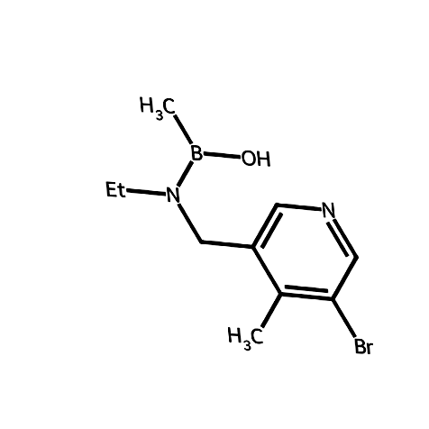 CCN(Cc1cncc(Br)c1C)B(C)O